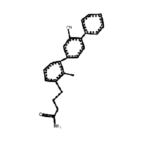 Cc1c(CCCC(N)=O)cccc1-c1ccc(-c2ccccc2)c(C#N)c1